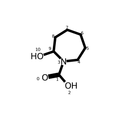 O=C(O)N1CCCCCC1O